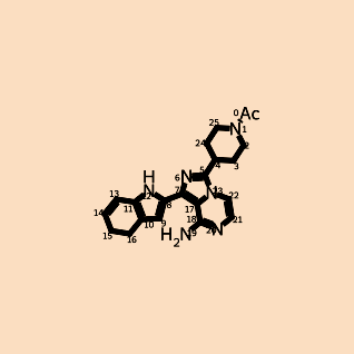 CC(=O)N1CCC(c2nc(-c3cc4c([nH]3)C=CCC4)c3c(N)nccn23)CC1